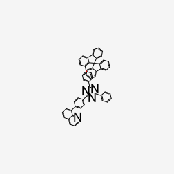 c1ccc(-c2nc(-c3ccc(-c4cccc5c4C4(c6ccccc6-c6ccccc64)c4ccccc4-5)cc3)nc(-c3ccc(-c4cccc5cccnc45)cc3)n2)cc1